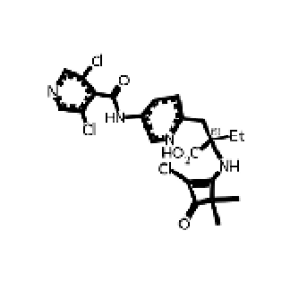 CC[C@@](Cc1ccc(NC(=O)c2c(Cl)cncc2Cl)cn1)(NC1=C(Cl)C(=O)C1(C)C)C(=O)O